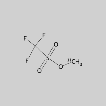 [11CH3]OS(=O)(=O)C(F)(F)F